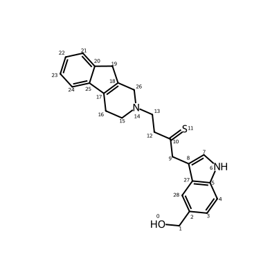 OCc1ccc2[nH]cc(CC(=S)CCN3CCC4=C(Cc5ccccc54)C3)c2c1